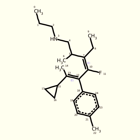 CCCNCC(C)/C(CC)=C(F)\C(=C(/C)C1CC1)c1ccc(C)cc1